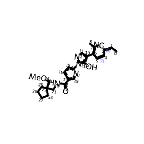 C/C=C(C#N)\C=C/C(=C(C)C)c1cnn(-c2ccc(C(=O)NCC3(COC)CCCC3)cn2)c1O